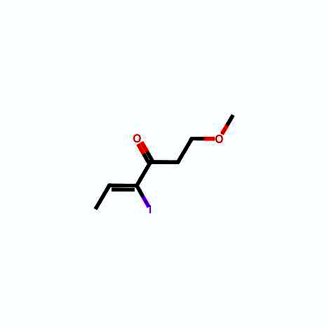 C/C=C(\I)C(=O)CCOC